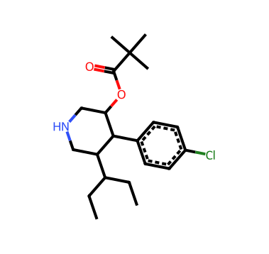 CCC(CC)C1CNCC(OC(=O)C(C)(C)C)C1c1ccc(Cl)cc1